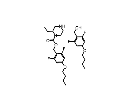 CCCCOc1cc(F)c(CO)c(F)c1.CCCCOc1cc(F)c(COC(=O)N2CCNCC2CC)c(F)c1